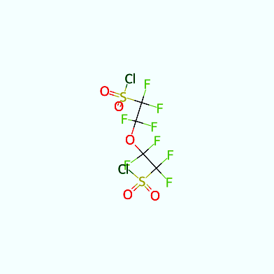 O=S(=O)(Cl)C(F)(F)C(F)(F)OC(F)(F)C(F)(F)S(=O)(=O)Cl